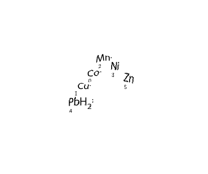 [Co].[Cu].[Mn].[Ni].[PbH2].[Zn]